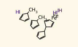 C1=CC(C2C=CC=C2)C=C1.CC1C=CC=C1.CC1C=CC=C1.I.I.I.[Fe].[Fe]